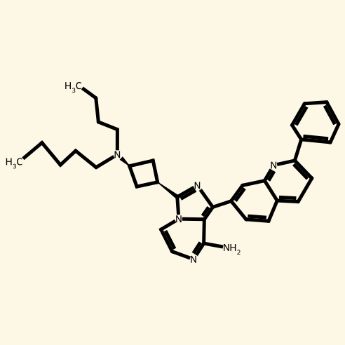 CCCCCN(CCCC)[C@H]1C[C@@H](c2nc(-c3ccc4ccc(-c5ccccc5)nc4c3)c3c(N)nccn32)C1